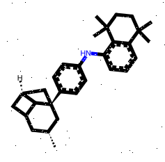 C[C@@H]1CC2C[C@H]3C[C@](c4ccc(Nc5cccc6c5C(C)(C)CCC6(C)C)cc4)(C1)C23